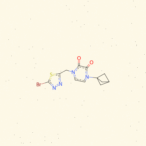 O=c1c(=O)n(C23CC(C2)C3)ccn1Cc1nnc(Br)s1